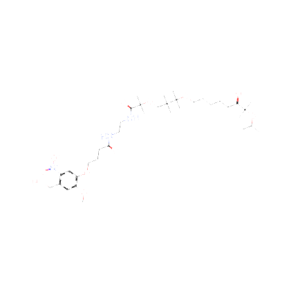 COc1cc(CO)c([N+](=O)[O-])cc1OCCCC(=O)NCCNC(=O)C(C)(C)OCC(C)(C)C(C)(C)OCCCCCC(=O)C(C)(C)OC(C)C